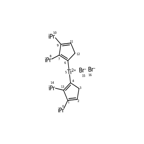 CC(C)C1=CC[C]([Ti+2][C]2=C(C(C)C)C(C(C)C)=CC2)=C1C(C)C.[Br-].[Br-]